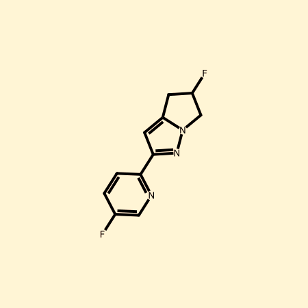 Fc1ccc(-c2cc3n(n2)CC(F)C3)nc1